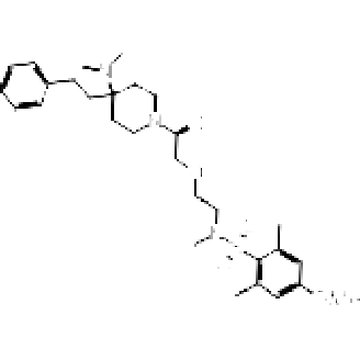 COc1cc(C)c(S(=O)(=O)N(C)CCOCC(=O)N2CCC(CCc3ccccc3)(N(C)C)CC2)c(C)c1